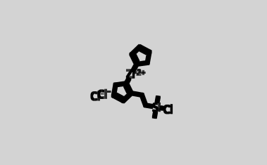 C[Si](C)(Cl)CCC1=[C]([Zr+2][C]2=CC=CC2)CC=C1.[Cl-].[Cl-]